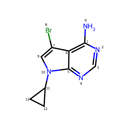 Nc1ncnc2c1c(Br)cn2C1CC1